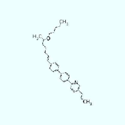 C=CCc1ccc(-c2ccc(-c3ccc(C=CCCCC(C)OCCCCC)cc3)cc2)nc1